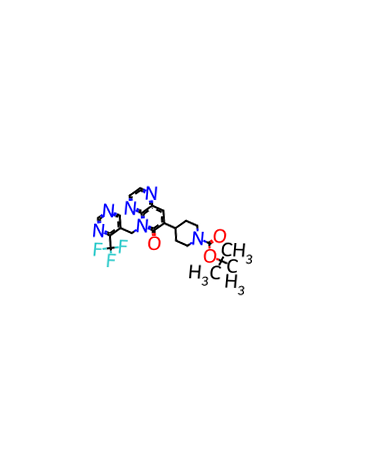 CC(C)(C)OC(=O)N1CCC(c2cc3nccnc3n(Cc3cncnc3C(F)(F)F)c2=O)CC1